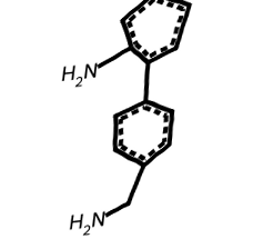 NCc1ccc(-c2cc[c]cc2N)cc1